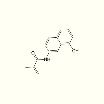 C=C(C)C(=O)Nc1ccc2cccc(O)c2c1